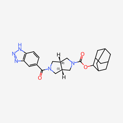 O=C(OC1C2CC3CC(C2)CC1C3)N1C[C@@H]2CN(C(=O)c3ccc4[nH]nnc4c3)C[C@@H]2C1